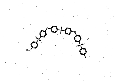 COc1ccc(S(=O)(=O)c2ccc(Oc3ccc(C(C)(C)c4ccc(Oc5ccc(S(=O)(=O)c6ccc(C)cc6)cc5)cc4)cc3)cc2)cc1